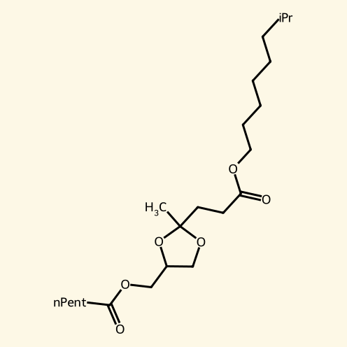 CCCCCC(=O)OCC1COC(C)(CCC(=O)OCCCCCCC(C)C)O1